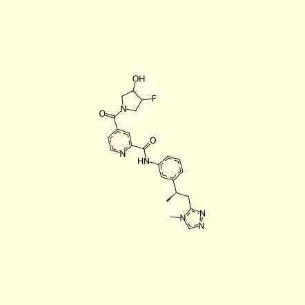 C[C@H](Cc1nncn1C)c1cccc(NC(=O)c2cc(C(=O)N3CC(O)C(F)C3)ccn2)c1